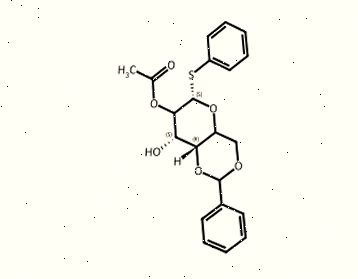 CC(=O)OC1[C@@H](O)[C@H]2OC(c3ccccc3)OCC2O[C@H]1Sc1ccccc1